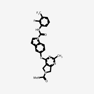 CNC(=O)N1Cc2nc(C)nc(Oc3ccc4c(ccn4C(=O)Nc4cccc(C(F)(F)F)c4F)c3)c2C1